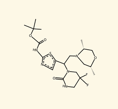 C[C@@H]1CN(CC(c2cnc(NC(=O)OC(C)(C)C)s2)N2CC(F)(F)CNC2=O)[C@H](C)CO1